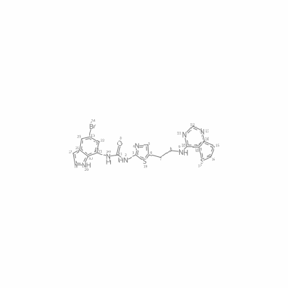 O=C(Nc1ncc(CCNc2ncnc3ccsc23)s1)Nc1cc(Br)cc2cc[nH]c12